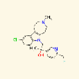 CN1CCc2c(n(CC(C)(O)c3ccc(CF)nc3)c3ccc(Cl)cc23)CC1